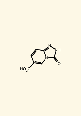 O=C(O)c1ccc2n[nH]c(=O)n2c1